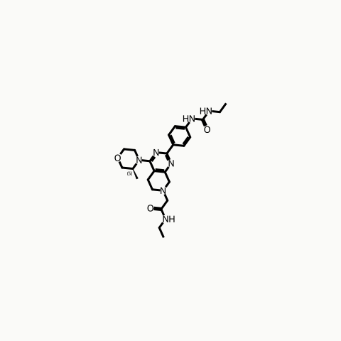 CCNC(=O)CN1CCc2c(nc(-c3ccc(NC(=O)NCC)cc3)nc2N2CCOC[C@@H]2C)C1